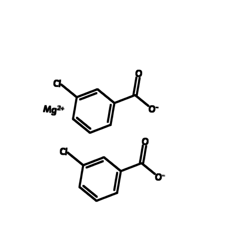 O=C([O-])c1cccc(Cl)c1.O=C([O-])c1cccc(Cl)c1.[Mg+2]